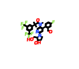 CN(C(=O)C(C)(C)c1cc(C(F)(F)F)cc(C(F)(F)F)c1)c1cnc(N2CCC(O)C2CO)cc1-c1ccc(F)cc1C=O